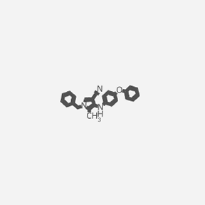 Cc1c(Nc2ccc(Oc3ccccc3)cc2)c(C#N)cn1Cc1ccccc1